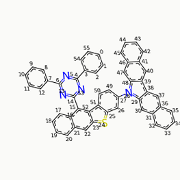 c1ccc(-c2nc(-c3ccccc3)nc(-c3c4ccccc4cc4sc5cc(-n6c7cc8ccccc8cc7c7cc8ccccc8cc76)ccc5c34)n2)cc1